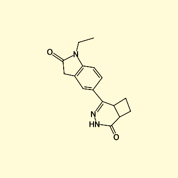 CCN1C(=O)Cc2cc(C3=NNC(=O)C4CCC34)ccc21